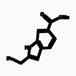 COC(=O)c1ccc2cc(CC(C)C)[nH]c2c1